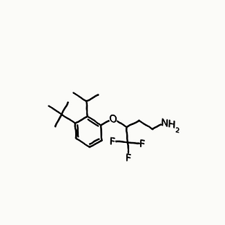 CC(C)c1c(OC(CCN)C(F)(F)F)cccc1C(C)(C)C